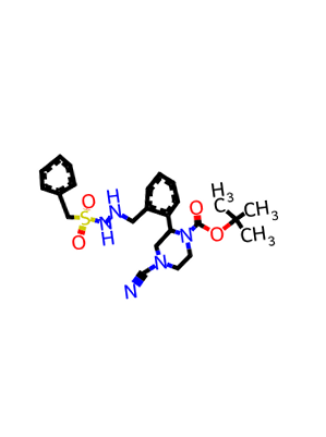 CC(C)(C)OC(=O)N1CCN(C#N)CC1c1ccccc1CNNS(=O)(=O)Cc1ccccc1